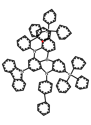 c1ccc(-c2ccc(N3c4cc([Si](c5ccccc5)(c5ccccc5)c5ccccc5)ccc4B4c5ccc([Si](c6ccccc6)(c6ccccc6)c6ccccc6)cc5N(c5ccccc5-c5ccccc5)c5cc(-n6c7ccccc7c7ccccc76)cc3c54)cc2)cc1